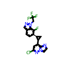 Fc1c([C@H]2CC2c2cc(Cl)nn3ccnc23)ccc2cnn(CC(F)(F)F)c12